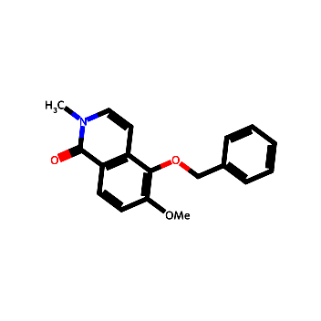 COc1ccc2c(=O)n(C)ccc2c1OCc1ccccc1